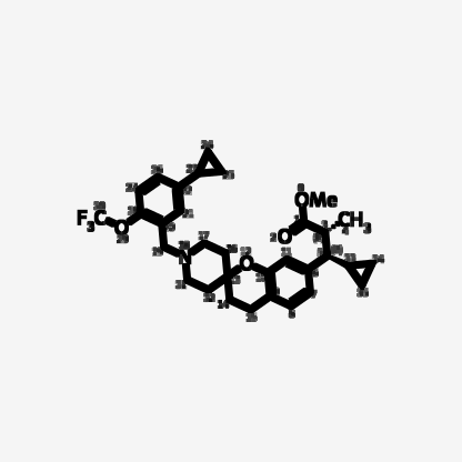 COC(=O)[C@H](C)[C@H](c1ccc2c(c1)OC1(CC2)CCN(Cc2cc(C3CC3)ccc2OC(F)(F)F)CC1)C1CC1